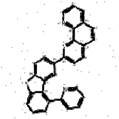 c1ccc(-c2cccc3sc4ccc(-c5ccc6ccc7cccnc7c6n5)cc4c23)nc1